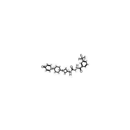 O=C(CNC(=O)c1cccc(C(F)(F)F)c1)NC1CN(C2CCC(n3ccc(=O)cc3)CC2)C1